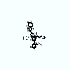 Cl.OCCCc1cc(-c2ccccc2C(F)(F)F)cc2nc(C3=NOC4(CCCCC4)C3)[nH]c12